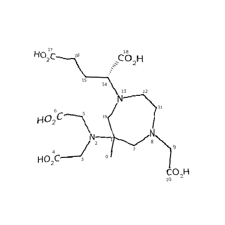 CC1(N(CC(=O)O)CC(=O)O)CN(CC(=O)O)CCN([C@H](CCC(=O)O)C(=O)O)C1